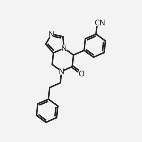 N#Cc1cccc(C2C(=O)N(CCc3ccccc3)Cc3cncn32)c1